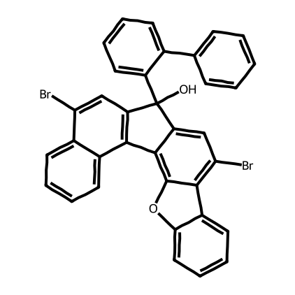 OC1(c2ccccc2-c2ccccc2)c2cc(Br)c3ccccc3c2-c2c1cc(Br)c1c2oc2ccccc21